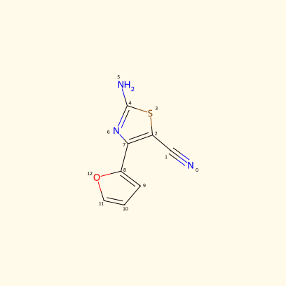 N#Cc1sc(N)nc1-c1ccco1